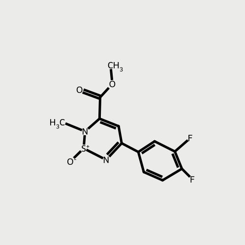 COC(=O)C1=CC(c2ccc(F)c(F)c2)=N[S+]([O-])N1C